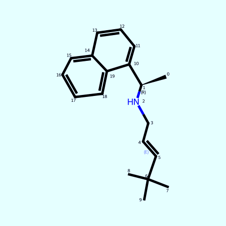 C[C@@H](NC/C=C/C(C)(C)C)c1cccc2ccccc12